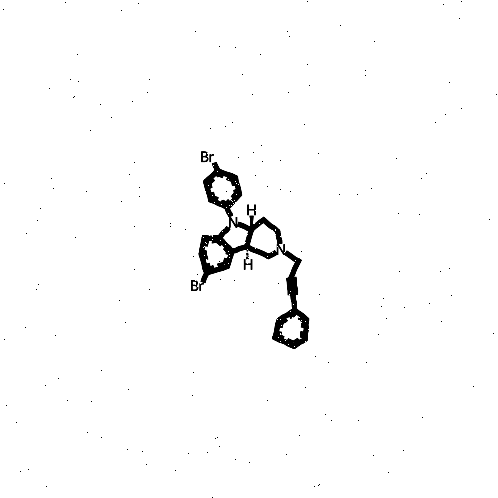 Brc1ccc(N2c3ccc(Br)cc3[C@@H]3CN(CC#Cc4ccccc4)CC[C@H]32)cc1